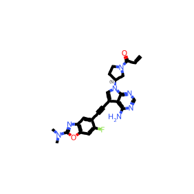 C=CC(=O)N1CC[C@H](n2cc(C#Cc3cc4nc(N(C)C)oc4cc3F)c3c(N)ncnc32)C1